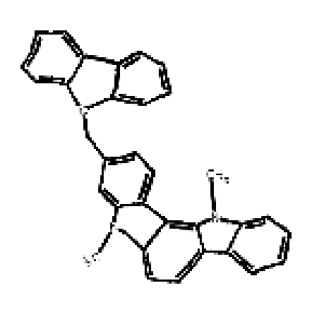 Cn1c2cc(Cn3c4ccccc4c4ccccc43)ccc2c2c1ccc1c3ccccc3n(C)c12